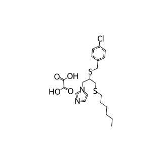 CCCCCCSCC(Cn1ccnc1)SCc1ccc(Cl)cc1.O=C(O)C(=O)O